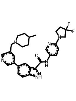 CC1CCN(Cc2cncc(-c3ccc4[nH]nc(C(=O)Nc5ccc(N6CCC(F)(F)C6)nc5)c4c3)c2)CC1